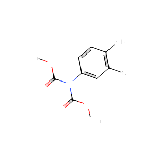 CC(C)(C)OC(=O)N(C(=O)OC(C)(C)C)c1ccc(C#N)c([N+](=O)[O-])c1